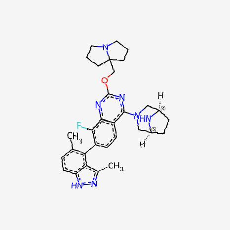 Cc1ccc2[nH]nc(C)c2c1-c1ccc2c(N3C[C@H]4CC[C@@H](C3)N4)nc(OCC34CCCN3CCC4)nc2c1F